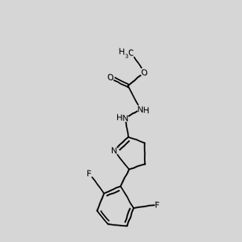 COC(=O)NNC1=NC(c2c(F)cccc2F)CC1